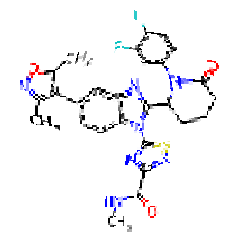 CNC(=O)c1nsc(-n2c(C3CCCC(=O)N3c3ccc(F)c(F)c3)nc3cc(-c4c(C)noc4C)ccc32)n1